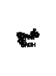 Cc1c(C(=O)O)cccc1N1CC(CCCN[C@H](C)c2ccc(F)c3ccccc23)Cc2ccccc21.Cl